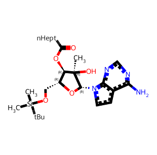 CCCCCCCC(=O)O[C@@H]1[C@@H](CO[Si](C)(C)C(C)(C)C)O[C@@H](n2ccc3c(N)ncnc32)[C@]1(C)O